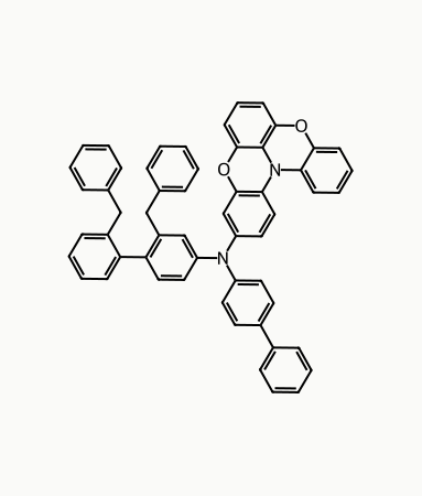 c1ccc(Cc2ccccc2-c2ccc(N(c3ccc(-c4ccccc4)cc3)c3ccc4c(c3)Oc3cccc5c3N4c3ccccc3O5)cc2Cc2ccccc2)cc1